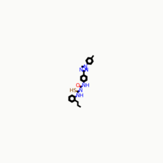 CCCc1ccccc1N/C(S)=N/C(=O)Nc1ccc(-c2ncn(-c3ccc(C)cc3)n2)cc1